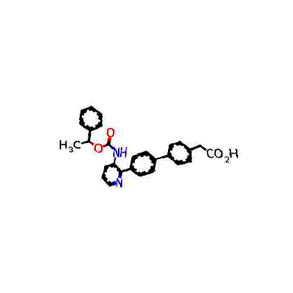 CC(OC(=O)Nc1cccnc1-c1ccc(-c2ccc(CC(=O)O)cc2)cc1)c1ccccc1